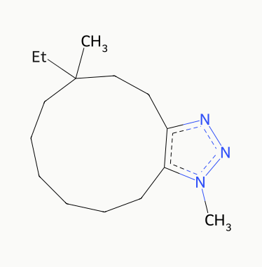 CCC1(C)CCCCCCc2c(nnn2C)CC1